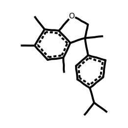 Cc1cc(C)c2c(c1C)OCC2(C)c1ccc(C(C)C)cc1